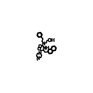 CN1CCN(C(=O)C(Cc2ccc3ccccc3c2)NC(=O)N(CCO)CCc2ccccc2)CC1